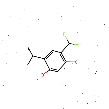 CC(C)c1cc(C(F)F)c(Cl)cc1O